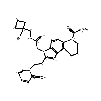 COC(=O)N1CCCc2c1ccc1c2nc(CCn2ccccc2=O)n1CC(=O)NCC1(O)CCC1